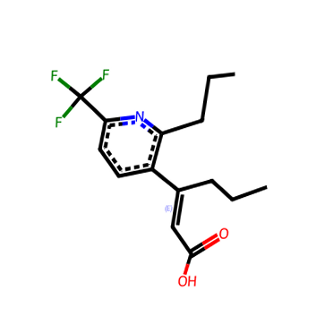 CCC/C(=C\C(=O)O)c1ccc(C(F)(F)F)nc1CCC